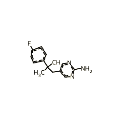 CC(C)(Cc1cnc(N)nc1)c1ccc(F)cc1